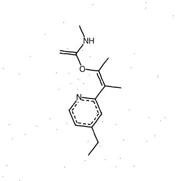 C=C(NC)O/C(C)=C(/C)c1cc(CC)ccn1